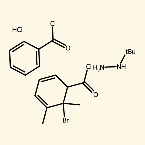 CC(C)(C)NN.CC1=CC=CC(C(=O)Cl)C1(C)Br.Cl.O=C(Cl)c1ccccc1